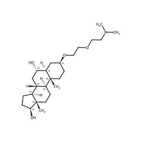 CN(C)CCOCCO[C@H]1CC[C@@]2(C)[C@H](C1)[C@@H](O)C[C@@H]1[C@@H]2CC[C@]2(C)[C@@H](O)CC[C@@H]12